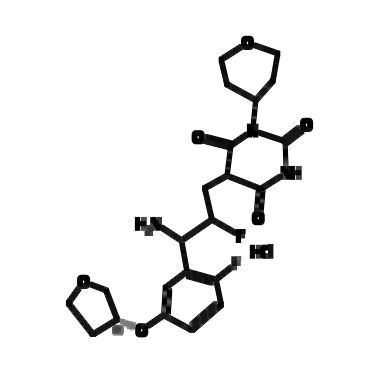 Cl.NC(c1cc(O[C@@H]2CCOC2)ccc1F)C(F)CC1C(=O)NC(=O)N(C2CCOCC2)C1=O